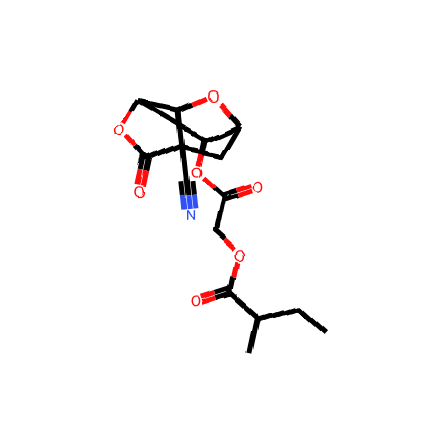 CCC(C)C(=O)OCC(=O)OC1C2CC3(C#N)C(=O)OC1C3O2